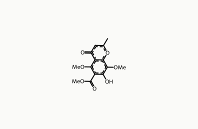 COC(=O)c1c(O)c(OC)c2oc(C)cc(=O)c2c1OC